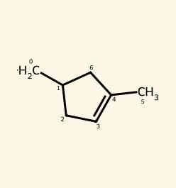 [CH2]C1CC=C(C)C1